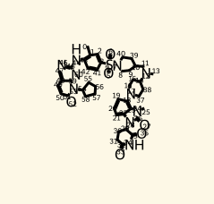 Cc1cc(S(=O)(=O)N2CCC(CN(C)C3CCN(c4cccc5c4n(C)c(=O)n5C4CCC(=O)NC4=O)CC3)CC2)ccc1Nc1ncc2ccc(=O)n(C3CCCC3)c2n1